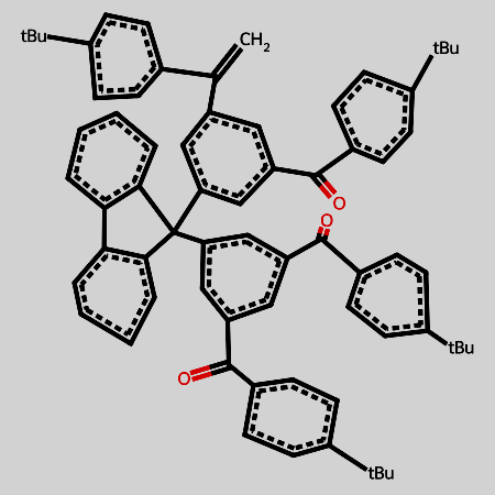 C=C(c1ccc(C(C)(C)C)cc1)c1cc(C(=O)c2ccc(C(C)(C)C)cc2)cc(C2(c3cc(C(=O)c4ccc(C(C)(C)C)cc4)cc(C(=O)c4ccc(C(C)(C)C)cc4)c3)c3ccccc3-c3ccccc32)c1